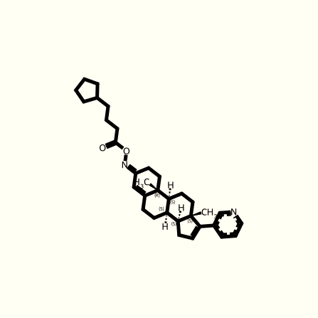 C[C@]12CCC(=NOC(=O)CCCC3CCCC3)C=C1CC[C@H]1[C@@H]2CC[C@]2(C)C(c3cccnc3)=CC[C@@H]12